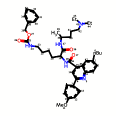 CCCCc1ccc2nc(-c3ccc(OC)cc3)cc(C(=O)NC(CCCCNC(=O)OCc3ccccc3)C(=O)NC(C)CCCN(CC)CC)c2c1